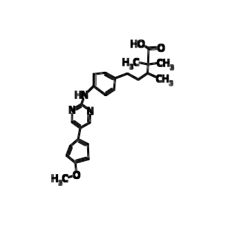 COc1ccc(-c2cnc(Nc3ccc(CCC(C)C(C)(C)C(=O)O)cc3)nc2)cc1